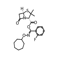 CC1(C)S[C@@H]2CC(=O)N2[C@H]1C(=O)O/C(=N\OC1CCCCCC1)c1ccccc1F